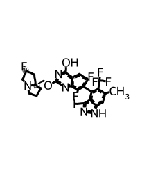 Cc1cc2[nH]nc(I)c2c(-c2c(F)cc3c(O)nc(OC[C@@]45CCCN4C[C@H](F)C5)nc3c2F)c1C(F)(F)F